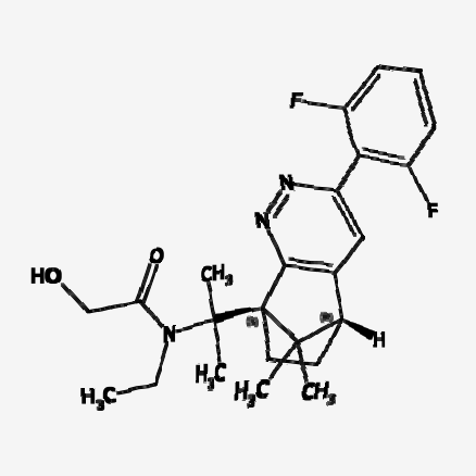 CCN(C(=O)CO)C(C)(C)[C@@]12CC[C@@H](c3cc(-c4c(F)cccc4F)nnc31)C2(C)C